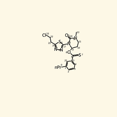 CCCc1cccc(C(=S)OC2CCN(C)C(=O)N2c2nnc(CCCl)s2)c1